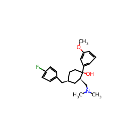 COc1cccc([C@@]2(O)CC[C@H](Cc3ccc(F)cc3)C[C@@H]2CN(C)C)c1